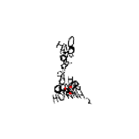 CN(c1cccc(C2CCN(CC(=O)N3CCC(Oc4ccnc(N5[C@@H]6CC[C@H]5CN(c5cc(-c7ccccc7O)nnc5N)C6)n4)CC3)CC2(F)F)c1)C1CCC(=O)NC1=O